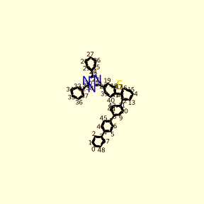 c1ccc(-c2ccc(-c3ccc(-c4cccc5sc6cc(-c7nc(-c8ccccc8)nc(-c8ccccc8)n7)ccc6c45)cc3)cc2)cc1